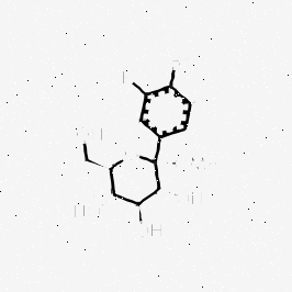 CO[C@@]1(c2ccc(Br)c(F)c2)O[C@H](CO)[C@@H](O)[C@H](O)[C@H]1O